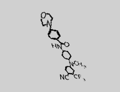 CN(c1ccc(C#N)c(C(F)(F)F)c1)[C@H]1CC[C@@H](NC(=O)c2ccc(N3CCOCC3)cc2)CC1